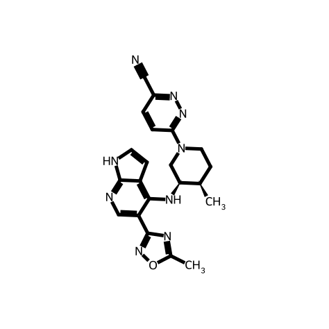 Cc1nc(-c2cnc3[nH]ccc3c2N[C@H]2CN(c3ccc(C#N)nn3)CC[C@H]2C)no1